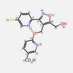 O=C(O)c1ccc(OCc2c(-c3ccc(F)cn3)noc2CO)nc1